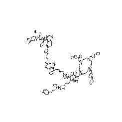 C#C[C@H]1CC(F)(F)CN1C(=O)CNC(=O)c1ccnc2ccc(OCCCCC3CCN(C(=O)CCCCCNC(=O)[C@H](CCCCNC(=O)CCCc4ccc(C)cc4)NC(=O)CN4CCN(COC=O)CCN(COC=O)CCN(CC(=O)O)CC4)CC3)cc12